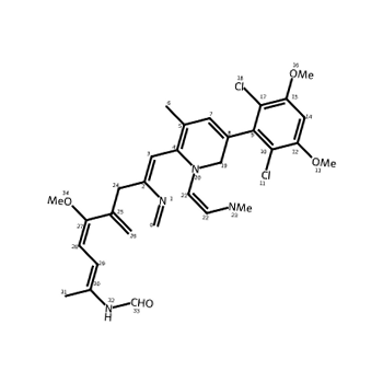 C=N/C(=C\C1=C(C)C=C(c2c(Cl)c(OC)cc(OC)c2Cl)CN1/C=C\NC)CC(=C)/C(=C\C=C(/C)NC=O)OC